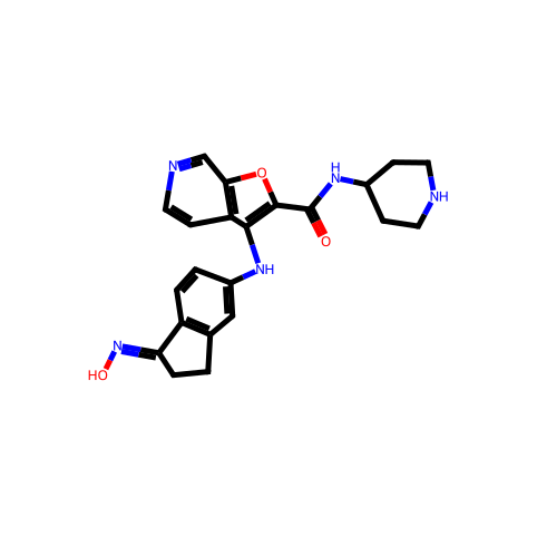 O=C(NC1CCNCC1)c1oc2cnccc2c1Nc1ccc2c(c1)CCC2=NO